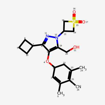 CC1=CC(Oc2c(C3CCC3)nn(C3CS(=O)(=O)C3)c2CO)CC(C)=C1C#N